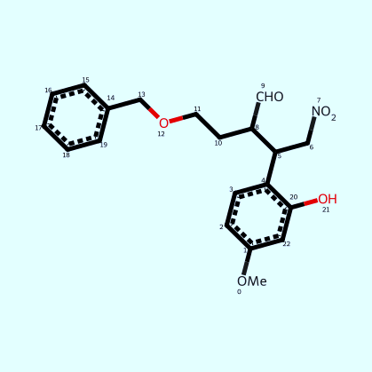 COc1ccc(C(C[N+](=O)[O-])C(C=O)CCOCc2ccccc2)c(O)c1